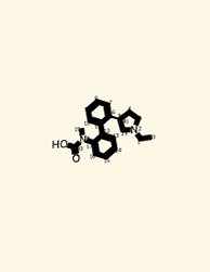 CCN1CC[C@H](c2ccccc2-c2ccccc2N(C)C(=O)O)C1